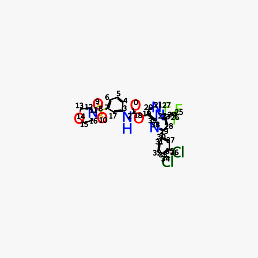 O=C(Nc1cccc(S(=O)(=O)N2CCOCC2)c1)Oc1cnn2c(C(F)(F)F)cc(-c3ccc(Cl)c(Cl)c3)nc12